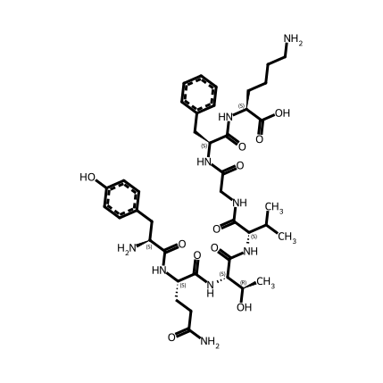 CC(C)[C@H](NC(=O)[C@@H](NC(=O)[C@H](CCC(N)=O)NC(=O)[C@@H](N)Cc1ccc(O)cc1)[C@@H](C)O)C(=O)NCC(=O)N[C@@H](Cc1ccccc1)C(=O)N[C@@H](CCCCN)C(=O)O